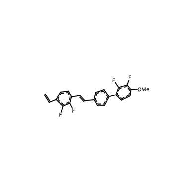 C=Cc1ccc(/C=C/c2ccc(-c3ccc(OC)c(F)c3F)cc2)c(F)c1F